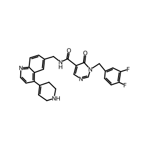 O=C(NCc1ccc2nccc(C3=CCNCC3)c2c1)c1cncn(Cc2ccc(F)c(F)c2)c1=O